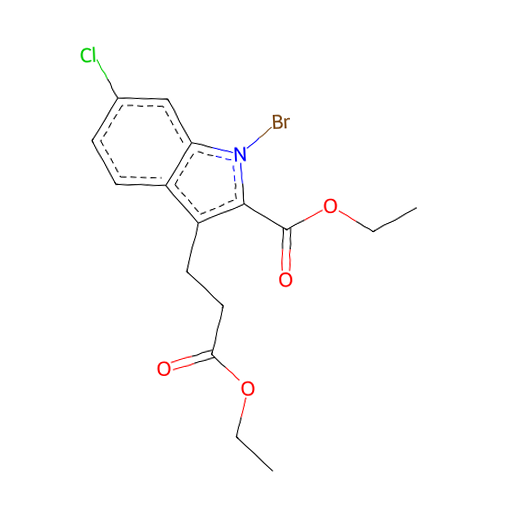 CCOC(=O)CCc1c(C(=O)OCC)n(Br)c2cc(Cl)ccc12